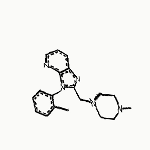 Cc1ccccc1-n1c(CN2CCN(C)CC2)nc2cccnc21